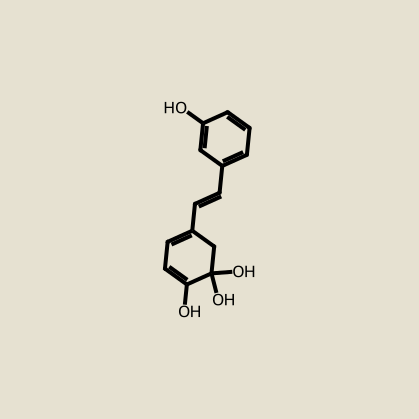 OC1=CC=C(/C=C/c2cccc(O)c2)CC1(O)O